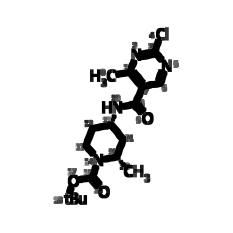 Cc1nc(Cl)ncc1C(=O)N[C@H]1CCN(C(=O)OC(C)(C)C)[C@@H](C)C1